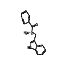 N[C@@H](Cc1c[nH]c2ccccc12)C(=O)c1ccccc1